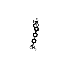 CCC[C@H]1CC[C@H](C2CCC(c3ccc4c(c3)CCC(C(F)(F)F)O4)CC2)CC1